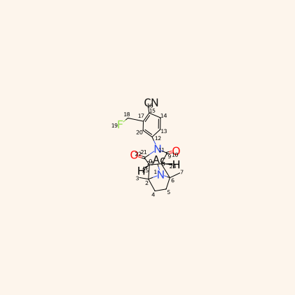 CC(=O)N1C2(C)CCC1(C)[C@H]1C(=O)N(c3ccc(C#N)c(CF)c3)C(=O)[C@H]12